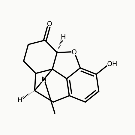 CN1CC23c4c5ccc(O)c4O[C@@H]2C(=O)CCC3[C@@H]1C5